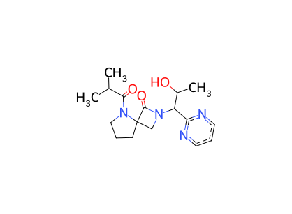 CC(C)C(=O)N1CCCC12CN(C(c1ncccn1)C(C)O)C2=O